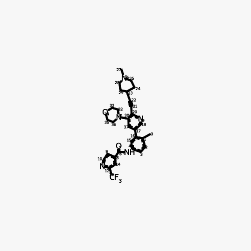 Cc1ccc(NC(=O)c2ccnc(C(F)(F)F)c2)cc1-c1cnc(C#CC2CCN(C)CC2)c(N2CCOCC2)c1